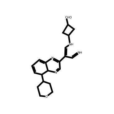 N=C/C(=C\NC1CC(C=O)C1)C1=NC2=CC=CC(C3CCOCC3)C2N=C1